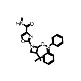 CNC(=O)c1coc(N2CC(C(C)(C)C)C2O[SiH](c2ccccc2)c2ccccc2)n1